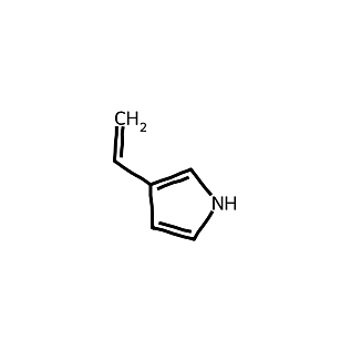 C=Cc1cc[nH]c1